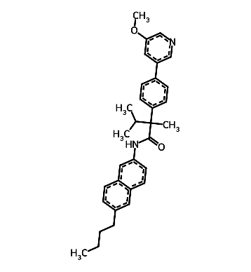 CCCCc1ccc2cc(NC(=O)C(C)(c3ccc(-c4cncc(OC)c4)cc3)C(C)C)ccc2c1